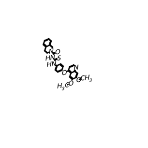 COc1cc2nccc(Oc3ccc(NC(=S)NC(=O)N4CCc5ccccc5C4)cc3)c2cc1OC